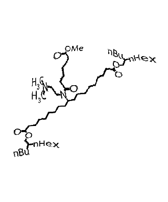 CCCCCCC(CCCC)COC(=O)CCCCCCCCC(CCCCCCCCC(=O)OCC(CCCC)CCCCCC)N(CCN(C)C)C(=O)CCCCC(=O)OC